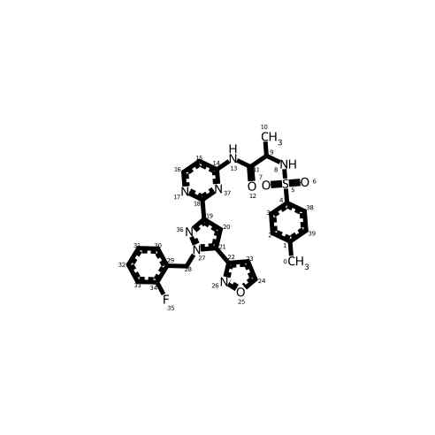 Cc1ccc(S(=O)(=O)NC(C)C(=O)Nc2ccnc(-c3cc(-c4ccon4)n(Cc4ccccc4F)n3)n2)cc1